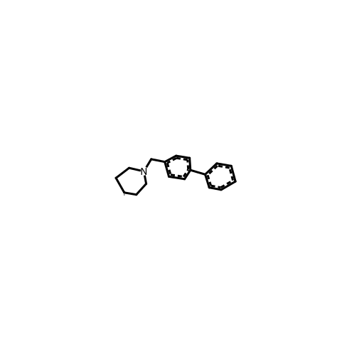 [CH]1CCN(Cc2ccc(-c3ccccc3)cc2)CC1